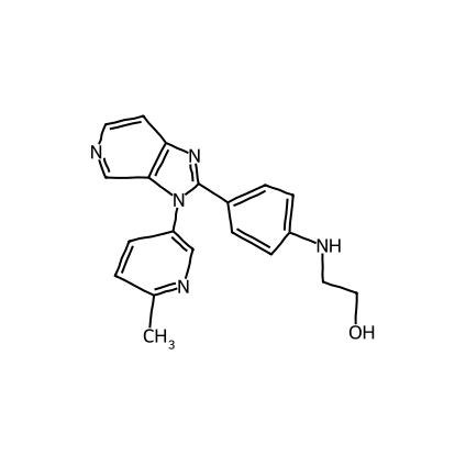 Cc1ccc(-n2c(-c3ccc(NCCO)cc3)nc3ccncc32)cn1